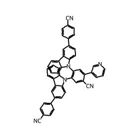 N#Cc1ccc(-c2ccc3c(c2)c2ccccc2n3-c2cc(C#N)c(-c3cccnc3)cc2-n2c3ccccc3c3cc(-c4ccc(C#N)cc4)ccc32)cc1